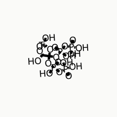 O=C(O)C([O][Ti](=[O])[OH])(OP(=O)(O)OP(=O)(O)O)OP(=O)(O)OP(=O)(O)O